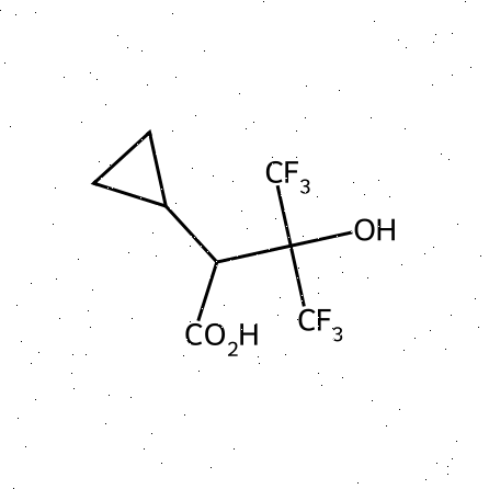 O=C(O)C(C1CC1)C(O)(C(F)(F)F)C(F)(F)F